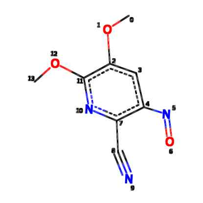 COc1cc(N=O)c(C#N)nc1OC